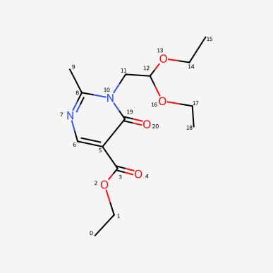 CCOC(=O)c1cnc(C)n(CC(OCC)OCC)c1=O